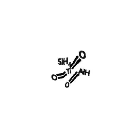 [O]=[AlH].[O]=[Ti]=[O].[SiH4]